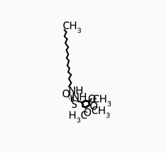 CCCCCCCCCCCCCCCCCCNC(=O)[C@H]1CSC(c2cc(OC)c(OC)c(OC)c2)N1